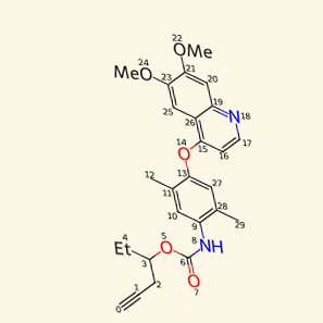 C#CCC(CC)OC(=O)Nc1cc(C)c(Oc2ccnc3cc(OC)c(OC)cc23)cc1C